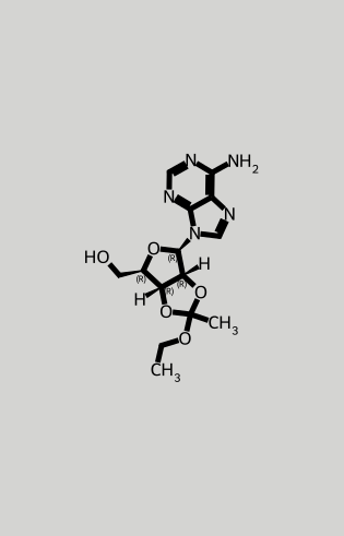 CCOC1(C)O[C@@H]2[C@H](O1)[C@@H](CO)O[C@H]2n1cnc2c(N)ncnc21